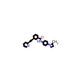 C=C1CCN1c1ccc(NC(=O)c2cccc(C#Cc3ccccn3)c2)cc1